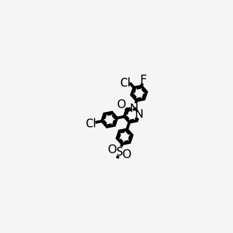 CS(=O)(=O)c1ccc(-c2cnn(-c3ccc(F)c(Cl)c3)c(=O)c2-c2ccc(Cl)cc2)cc1